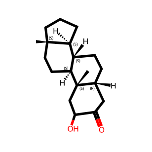 C[C@@]12CCC[C@H]1[C@@H]1CC[C@@H]3CC(=O)C(O)C[C@]3(C)[C@H]1CC2